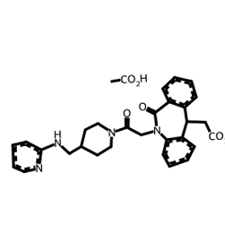 CC(=O)O.O=C(O)CC1c2ccccc2C(=O)N(CC(=O)N2CCC(CNc3ccccn3)CC2)c2ccccc21